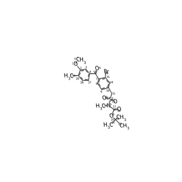 COc1cc(C(=O)c2ccc(CS(=O)(=O)N(C)C(=O)OC(C)(C)C)cc2Br)ccc1C